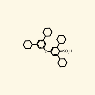 O=S(=O)(O)C1C(C2CCCCC2)=CC(Oc2cc(C3CCCCC3)cc(C3CCCCC3)c2)=CC1C1CCCCC1